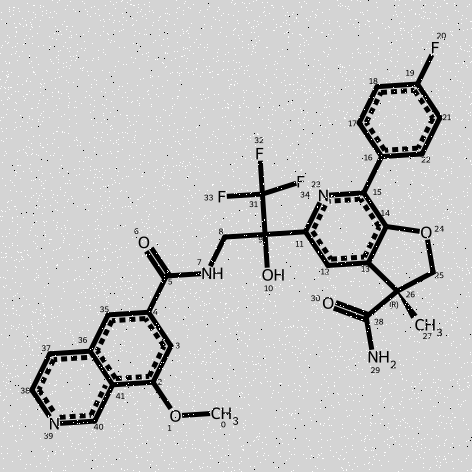 COc1cc(C(=O)NCC(O)(c2cc3c(c(-c4ccc(F)cc4)n2)OC[C@]3(C)C(N)=O)C(F)(F)F)cc2ccncc12